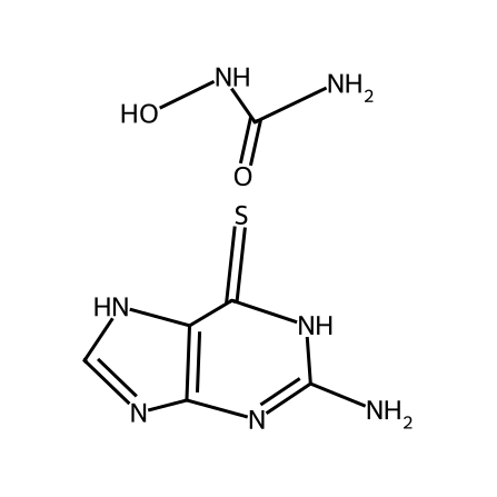 NC(=O)NO.Nc1nc2nc[nH]c2c(=S)[nH]1